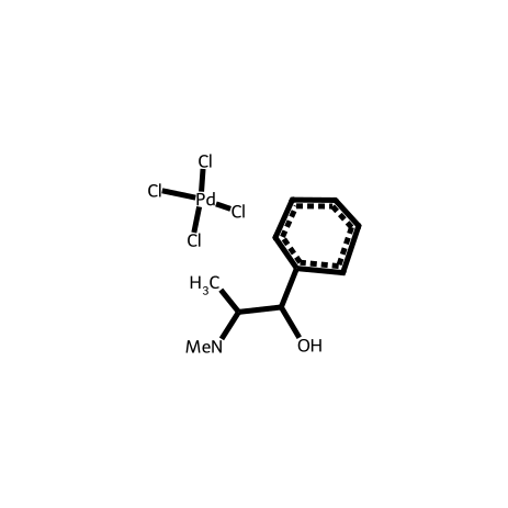 CNC(C)C(O)c1ccccc1.[Cl][Pd]([Cl])([Cl])[Cl]